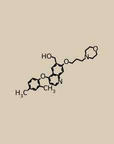 Cc1ccc(Oc2ccnc3cc(OCCCN4CCOCC4)c(CO)cc23)c(C)c1